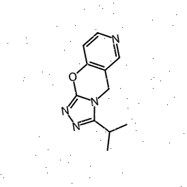 CC(C)c1nnc2n1Cc1cnccc1O2